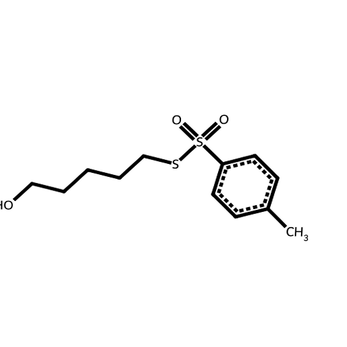 Cc1ccc(S(=O)(=O)SCCCCCO)cc1